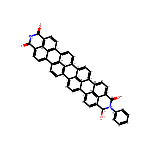 O=C1NC(=O)c2ccc3c4ccc5c6ccc7c8ccc9c%10c(ccc(c%11ccc(c%12ccc(c%13ccc1c2c%133)c4c%125)c6c%117)c%108)C(=O)N(c1ccccc1)C9O